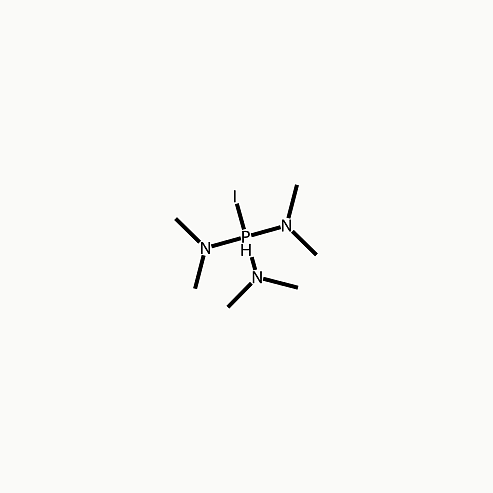 CN(C)[PH](I)(N(C)C)N(C)C